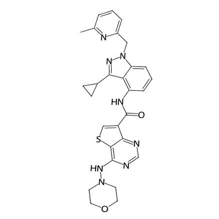 Cc1cccc(Cn2nc(C3CC3)c3c(NC(=O)c4csc5c(NN6CCOCC6)ncnc45)cccc32)n1